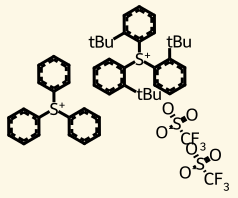 CC(C)(C)c1ccccc1[S+](c1ccccc1C(C)(C)C)c1ccccc1C(C)(C)C.O=S(=O)([O-])C(F)(F)F.O=S(=O)([O-])C(F)(F)F.c1ccc([S+](c2ccccc2)c2ccccc2)cc1